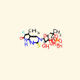 CCC(C)(C[C@H]1O[C@@H](n2cc3c(C)c(F)c(=O)[nH]c3nc2=S)[C@@H](O)C1O)OP(=O)(O)O